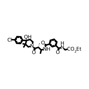 CCOC(=O)CNC(=O)c1cccc(C(=O)NC(C)[C@@H](C)C(=O)N2CC[C@](O)(c3ccc(Cl)cc3)C(C)(C)C2)c1